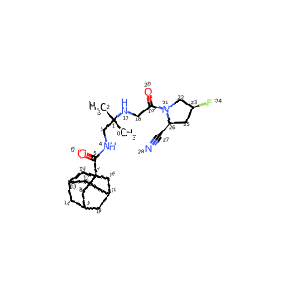 CC(C)(CNC(=O)C12CC3CC(CC(C3)C1)C2)NCC(=O)N1C[C@@H](F)C[C@H]1C#N